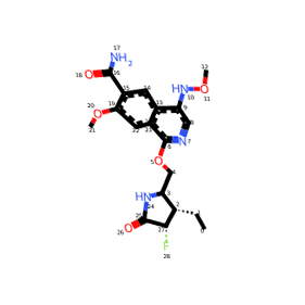 CC[C@H]1C(COc2ncc(NOC)c3cc(C(N)=O)c(OC)cc23)NC(=O)[C@H]1F